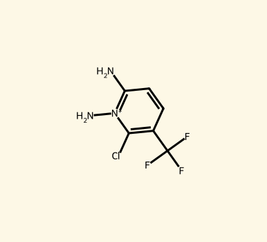 Nc1ccc(C(F)(F)F)c(Cl)[n+]1N